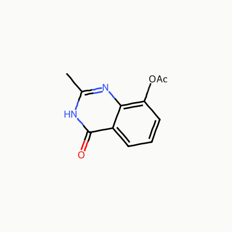 CC(=O)Oc1cccc2c(=O)[nH]c(C)nc12